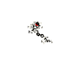 CC(O)[C@@H]1C(CO)ON(Cc2cccc(-c3ccc(NC(=O)CN(C)C)cc3)c2)[C@@H]1C(=O)N[C@H]1C[C@@H]2C[C@H](C1C)C2(C)C